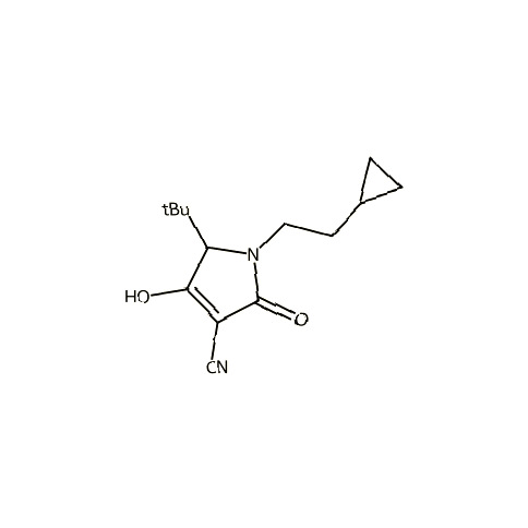 CC(C)(C)C1C(O)=C(C#N)C(=O)N1CCC1CC1